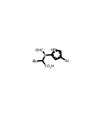 CCC(C)C(C(=O)O)N(C=O)c1cc(C(C)=O)c[nH]1